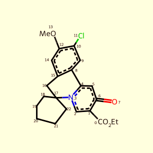 CCOC(=O)c1cn2c(cc1=O)-c1cc(Cl)c(OC)cc1CC21CCCCC1